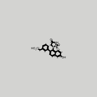 O=C(O)Cc1cccc(-c2ccc3cc(O)ccc3c2N2CC(=O)NS2(=O)=O)c1